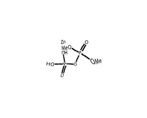 COP(=O)(OC)OP(=O)(O)O.[Zn]